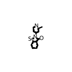 Cc1cc(-n2[se]c3ccccc3c2=O)ccn1